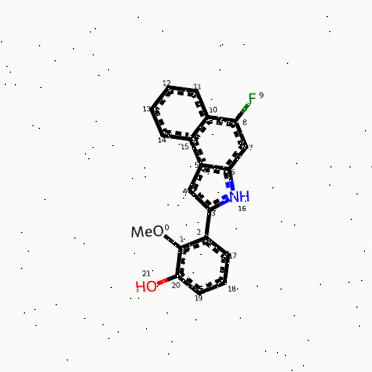 COc1c(-c2cc3c(cc(F)c4ccccc43)[nH]2)[c]ccc1O